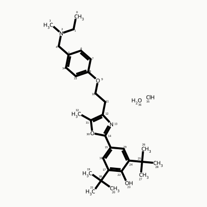 CCN(C)Cc1ccc(OCCc2nc(-c3cc(C(C)(C)C)c(O)c(C(C)(C)C)c3)oc2C)cc1.Cl.O